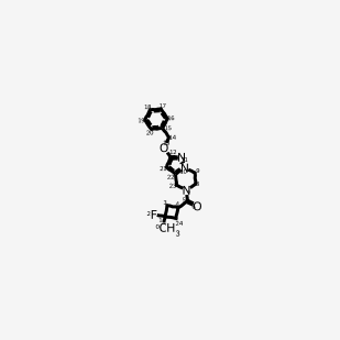 CC1(F)CC(C(=O)N2CCn3nc(OCc4ccccc4)cc3C2)C1